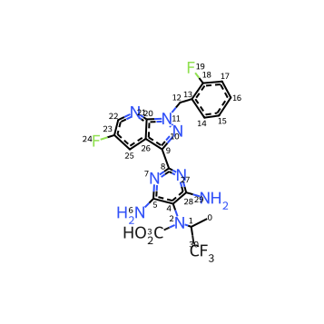 CC(N(C(=O)O)c1c(N)nc(-c2nn(Cc3ccccc3F)c3ncc(F)cc23)nc1N)C(F)(F)F